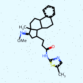 CO/N=C1\CC(CCC(=O)Nc2ncc(C)s2)C2C3CCc4ccccc4C3CCC12C